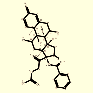 CCC(=O)OCC(=O)[C@@]1(OC(=O)c2ccccc2)C(C)C[C@H]2[C@@H]3C(Br)CC4=CC(=O)C=C[C@]4(C)[C@@]3(Br)C(O)C[C@@]21C